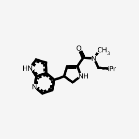 CC(C)CN(C)C(=O)C1=CC(c2ccnc3[nH]ccc23)CN1